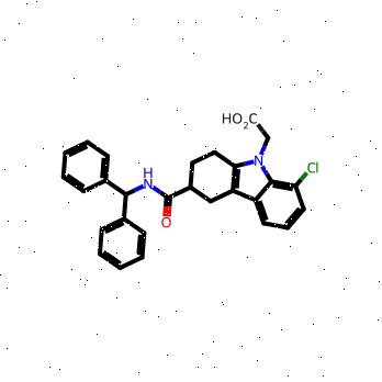 O=C(O)Cn1c2c(c3cccc(Cl)c31)CC(C(=O)NC(c1ccccc1)c1ccccc1)CC2